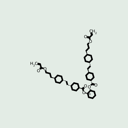 C=CC(=O)OCCC[C@H]1CC[C@H](CC[C@H]2CC[C@H](C(=O)O[C@@H]3CCCC[C@H]3OC(=O)[C@H]3CC[C@H](CC[C@H]4CC[C@H](CCCOC(=O)C=C)CC4)CC3)CC2)CC1